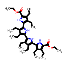 CCOC(=O)c1[nH]c(-c2[nH]c(-c3[nH]c(-c4[nH]c(C(=O)OCC)c(CC)c4CC)c(CC)c3CC)c(CC)c2CC)c(CC)c1CC